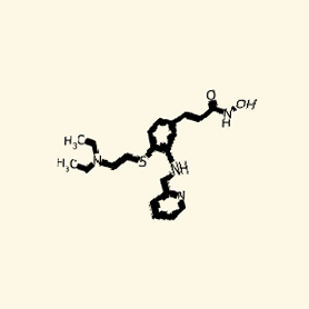 CCN(CC)CCSc1ccc(/C=C/C(=O)NO)cc1NCc1ccccn1